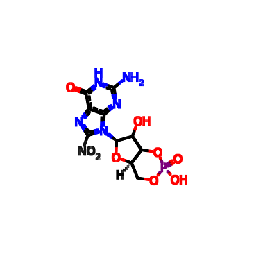 Nc1nc2c(nc([N+](=O)[O-])n2[C@@H]2O[C@@H]3COP(=O)(O)OC3C2O)c(=O)[nH]1